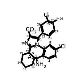 CC(=O)C(N)c1ccc(Cl)cc1-n1c(C2CCCCC2)nc(C(=O)O)c1-c1ccc(F)c(Cl)c1